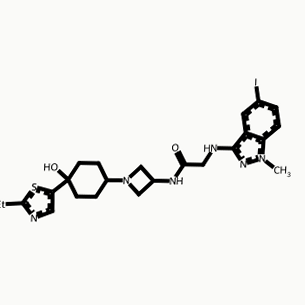 CCc1ncc(C2(O)CCC(N3CC(NC(=O)CNc4nn(C)c5ccc(I)cc45)C3)CC2)s1